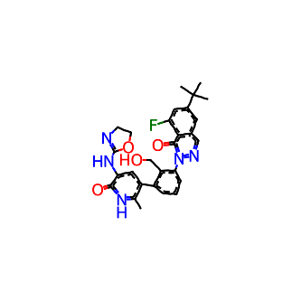 Cc1[nH]c(=O)c(NC2=NCCO2)cc1-c1cccc(-n2ncc3cc(C(C)(C)C)cc(F)c3c2=O)c1CO